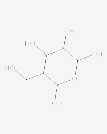 CC1C(O)OC(O)C(CO)C1O